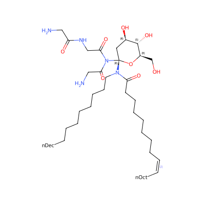 CCCCCCCC/C=C\CCCCCCCC(=O)N(CCCCCCCCCCCCCCCCCC)[C@@]1(N(C(=O)CN)C(=O)CNC(=O)CN)C[C@@H](O)[C@H](O)[C@@H](CO)O1